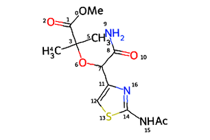 COC(=O)C(C)(C)OC(C(N)=O)c1csc(NC(C)=O)n1